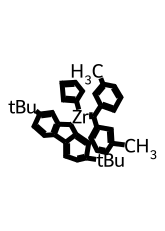 Cc1cccc([C](c2cccc(C)c2)=[Zr]([C]2=CC=CC2)[CH]2c3cc(C(C)(C)C)ccc3-c3ccc(C(C)(C)C)cc32)c1